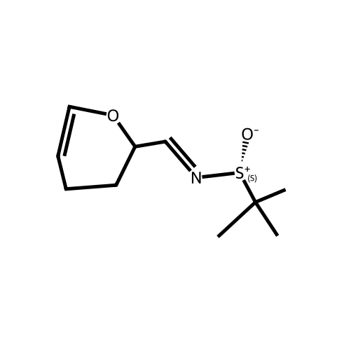 CC(C)(C)[S@@+]([O-])N=CC1CCC=CO1